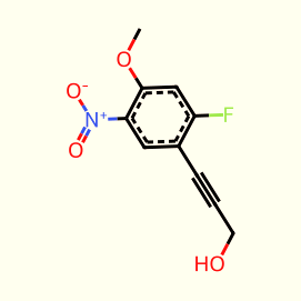 COc1cc(F)c(C#CCO)cc1[N+](=O)[O-]